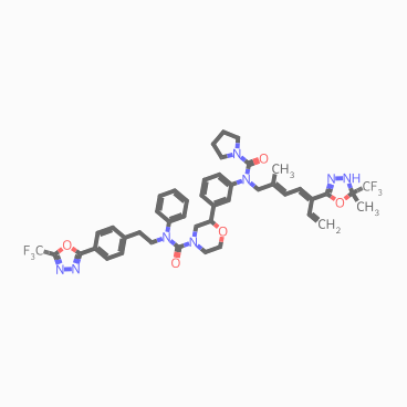 C=C/C(=C\C=C(/C)CN(C(=O)N1CCCC1)c1cccc(C2CN(C(=O)N(CCc3ccc(-c4nnc(C(F)(F)F)o4)cc3)c3ccccc3)CCO2)c1)C1=NNC(C)(C(F)(F)F)O1